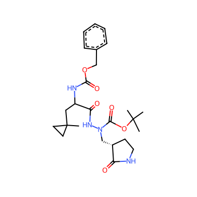 CC1(CC(NC(=O)OCc2ccccc2)C(=O)NN(C[C@@H]2CCNC2=O)C(=O)OC(C)(C)C)CC1